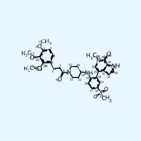 COc1ccc(CCC(=O)N2CCC(Nc3ccc(S(C)(=O)=O)cc3-c3cn(C)c(=O)c4[nH]ccc34)CC2)c(OC)c1OC